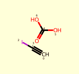 C#CI.O=C(O)O